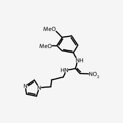 COc1ccc(N/C(=C\[N+](=O)[O-])NCCCn2ccnc2)cc1OC